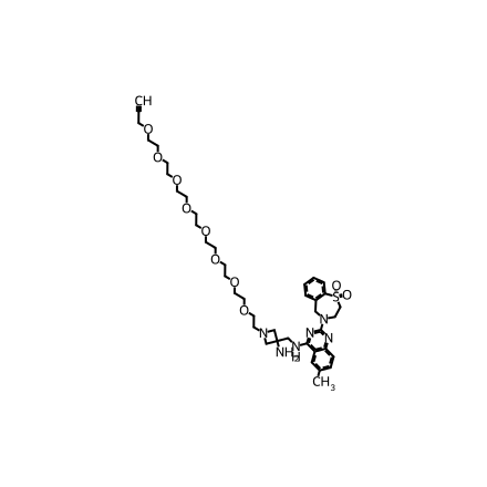 C#CCOCCOCCOCCOCCOCCOCCOCCOCCN1CC(N)(CNc2nc(N3CCS(=O)(=O)c4ccccc4C3)nc3ccc(C)cc23)C1